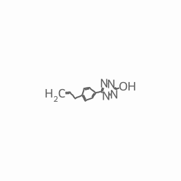 C=CCc1ccc(-c2nnc(O)nn2)cc1